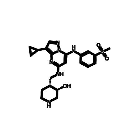 CS(=O)(=O)c1cccc(Nc2cc(NC[C@H]3CCNC[C@@H]3O)nc3c(C4CC4)cnn23)c1